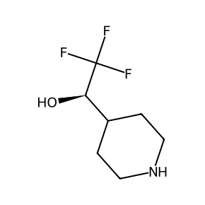 O[C@H](C1CCNCC1)C(F)(F)F